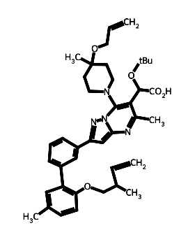 C=CCOC1(C)CCN(c2c(C(OC(C)(C)C)C(=O)O)c(C)nc3cc(-c4cccc(-c5cc(C)ccc5OCC(C)C=C)c4)nn23)CC1